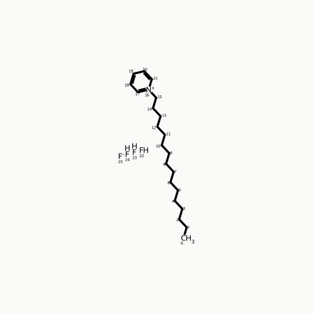 CCCCCCCCCCCCCCCC[n+]1ccccc1.F.F.F.[F-]